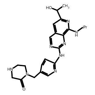 CC(C)Nc1nc(C(C)O)cc2cnc(Nc3ccc(CN4CCNCC4=O)cn3)nc12